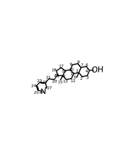 CC12CCC(O)CC1CCC1C2CCC2(C)C1CC[C@@H]2CCc1cccnc1